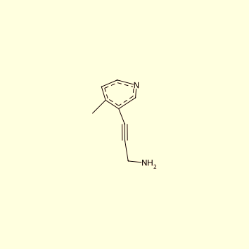 Cc1ccncc1C#CCN